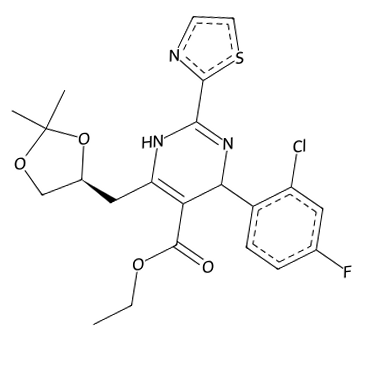 CCOC(=O)C1=C(C[C@H]2COC(C)(C)O2)NC(c2nccs2)=NC1c1ccc(F)cc1Cl